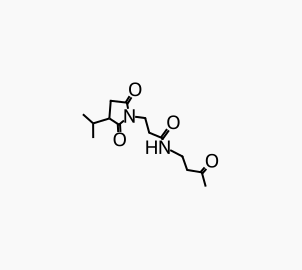 CC(=O)CCNC(=O)CCN1C(=O)CC(C(C)C)C1=O